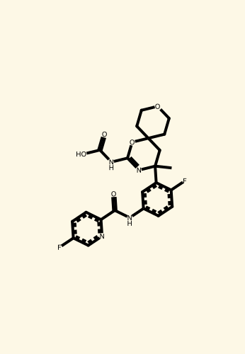 CC1(c2cc(NC(=O)c3ccc(F)cn3)ccc2F)CC2(CCOCC2)OC(NC(=O)O)=N1